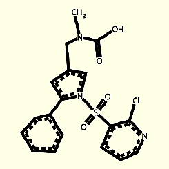 CN(Cc1cc(-c2ccccc2)n(S(=O)(=O)c2cccnc2Cl)c1)C(=O)O